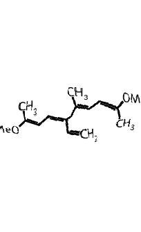 C=CC(=C\C=C(/C)OC)/C(C)=C/C=C(\C)OC